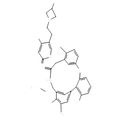 Cc1cc2cc(c1F)[C@H](CC(=O)O)NC(=O)[C@H](n1cc(CCN3CC(F)C3)c(C(F)(F)F)cc1=O)c1cc(ccc1Cl)Oc1cccc(C)c1-2